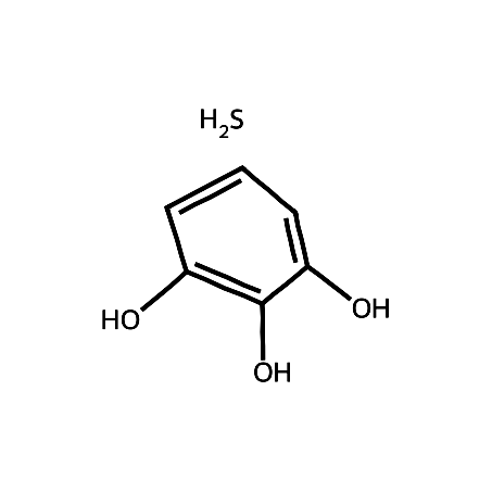 Oc1cccc(O)c1O.S